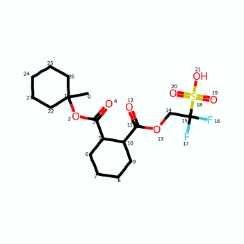 CC1(OC(=O)C2CCCCC2C(=O)OCC(F)(F)S(=O)(=O)O)CCCCC1